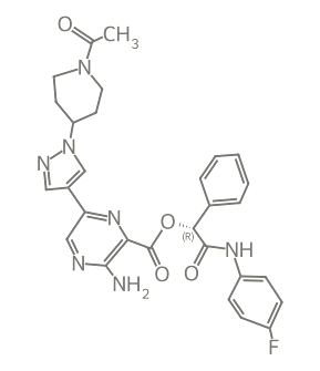 CC(=O)N1CCC(n2cc(-c3cnc(N)c(C(=O)O[C@@H](C(=O)Nc4ccc(F)cc4)c4ccccc4)n3)cn2)CC1